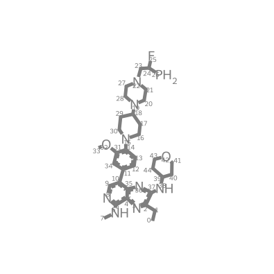 CCc1nc2c(NC)ncc(-c3ccc(N4CCC(N5CCN(CC(F)P)CC5)CC4)c(OC)c3)c2nc1NC1CCOCC1